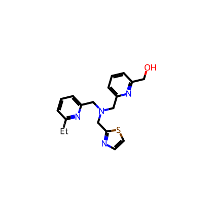 CCc1cccc(CN(Cc2cccc(CO)n2)Cc2nccs2)n1